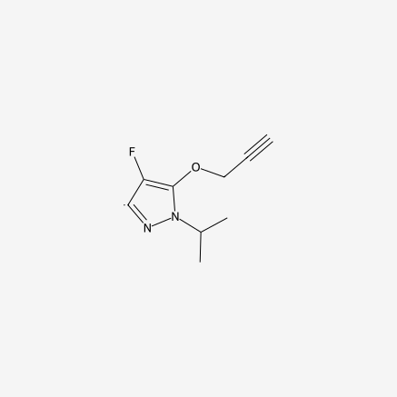 C#CCOc1c(F)[c]nn1C(C)C